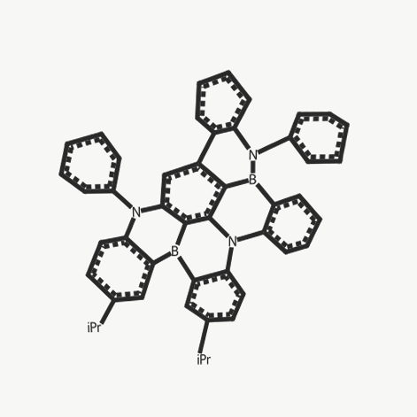 CC(C)c1ccc2c(c1)B1c3cc(C(C)C)ccc3N3c4ccccc4B4c5c(cc(c1c53)N2c1ccccc1)-c1ccccc1N4c1ccccc1